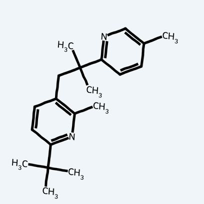 Cc1ccc(C(C)(C)Cc2ccc(C(C)(C)C)nc2C)nc1